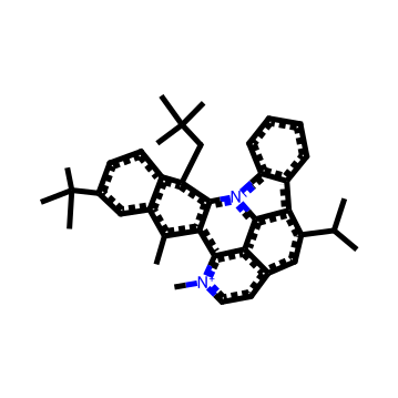 Cc1c2cc(C(C)(C)C)ccc2c(CC(C)(C)C)c2c1c1c3c(cc[n+]1C)cc(C(C)C)c1c4ccccc4n2c13